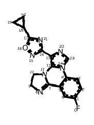 Fc1ccc2c(c1)C1=NCCN1c1c(-c3noc(C4CC4)n3)ncn1-2